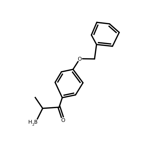 BC(C)C(=O)c1ccc(OCc2ccccc2)cc1